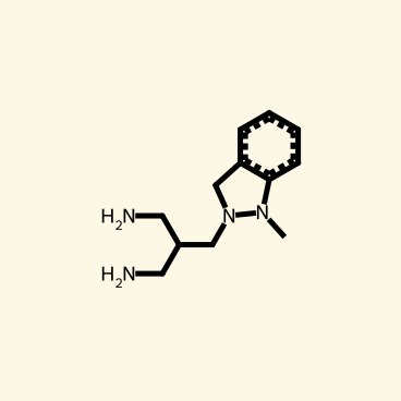 CN1c2ccccc2CN1CC(CN)CN